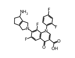 NC1CCC2=C1CN(c1c(F)cc3c(=O)c(C(=O)O)cn(-c4ccc(F)cc4F)c3c1F)C2